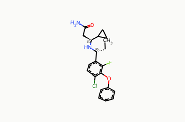 CC[C@@H](N[C@@H](CC(N)=O)C1CC1)c1ccc(Cl)c(Oc2ccccc2)c1F